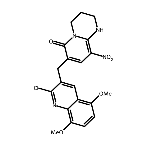 COc1ccc(OC)c2nc(Cl)c(Cc3cc([N+](=O)[O-])c4n(c3=O)CCCN4)cc12